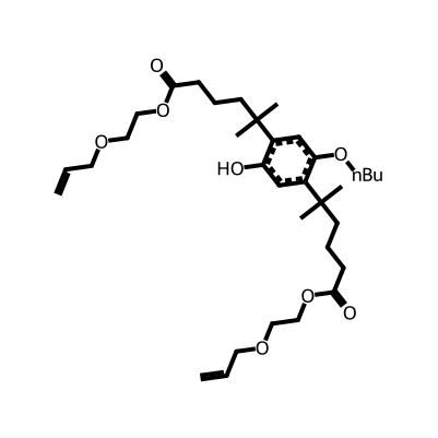 C=CCOCCOC(=O)CCCC(C)(C)c1cc(OCCCC)c(C(C)(C)CCCC(=O)OCCOCC=C)cc1O